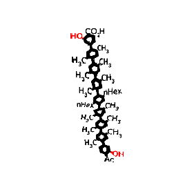 CCCCCCc1cc(-c2cc(C)c(-c3cc(C)c(-c4cc(C)c(-c5ccc(C(=O)O)c(O)c5)cc4C)cc3C)cc2C)c(CCCCCC)cc1-c1cc(C)c(-c2cc(C)c(-c3cc(C)c(-c4ccc(C(C)=O)c(O)c4)cc3C)cc2C)cc1C